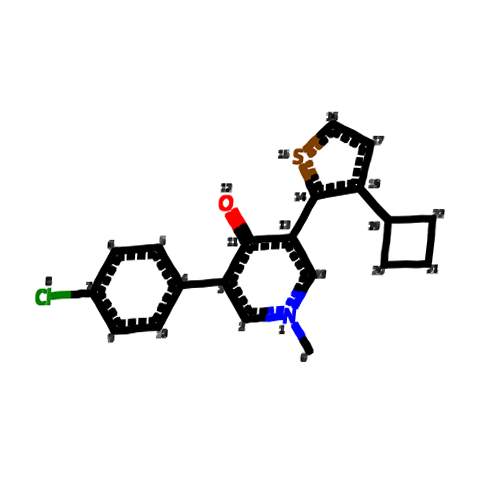 Cn1cc(-c2ccc(Cl)cc2)c(=O)c(-c2sccc2C2CCC2)c1